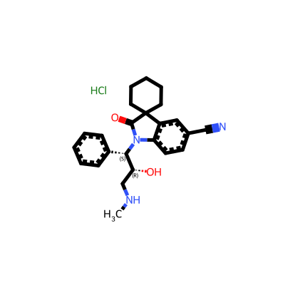 CNC[C@@H](O)[C@H](c1ccccc1)N1C(=O)C2(CCCCC2)c2cc(C#N)ccc21.Cl